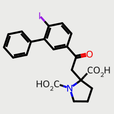 O=C(CC1(C(=O)O)CCCN1C(=O)O)c1ccc(I)c(-c2ccccc2)c1